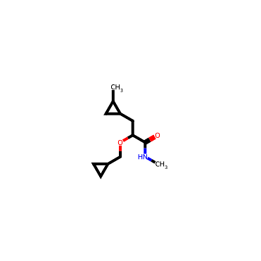 CNC(=O)C(CC1CC1C)OCC1CC1